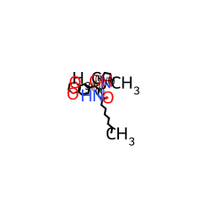 CCCCCCCC(=O)N[C@H](CN1[C@H](C)CC[C@H]1C)[C@H](O)c1ccc2c(c1)OCCO2